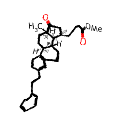 COC(=O)CC[C@@H]1CC(=O)[C@@]2(C)CC[C@@H]3c4ccc(CCc5ccccc5)cc4CC[C@H]3[C@H]12